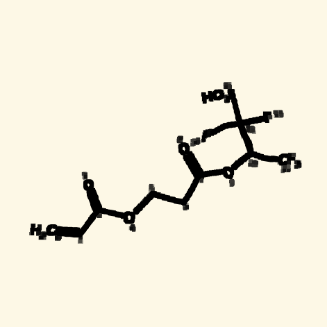 C=CC(=O)OCCC(=O)OC(C(F)(F)F)C(F)(F)S(=O)(=O)O